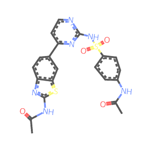 CC(=O)Nc1ccc(S(=O)(=O)Nc2nccc(-c3ccc4nc(NC(C)=O)sc4c3)n2)cc1